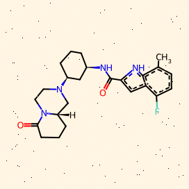 Cc1ccc(F)c2cc(C(=O)N[C@@H]3CCC[C@H](N4CCN5C(=O)CCC[C@H]5C4)C3)[nH]c12